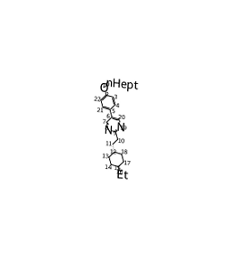 CCCCCCCOc1ccc(-c2cnc(CC[C@H]3CC[C@H](CC)CC3)nc2)cc1